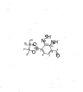 CC1(C)OB(C2=CC=C(C=O)C(=N)/C2=N\S)OC1(C)C